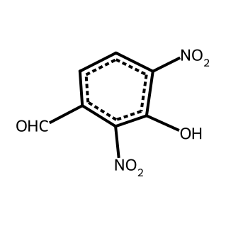 O=Cc1ccc([N+](=O)[O-])c(O)c1[N+](=O)[O-]